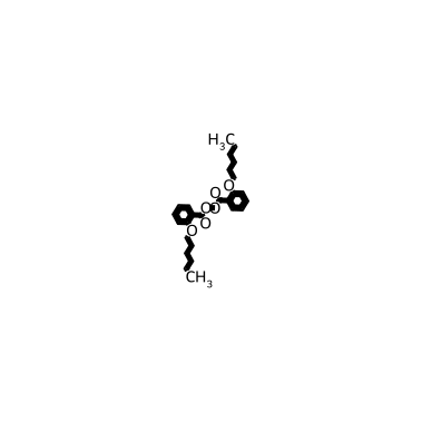 CCCCCCOc1ccccc1C(=O)OOC(=O)c1ccccc1OCCCCCC